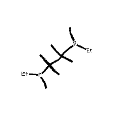 CCP(C)C(C)(C)C(C)(C)P(C)CC